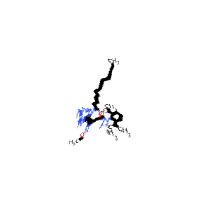 CCCCCCCCCCCCn1nnnc1C(=NOCC)C(=O)Nc1c(C(C)C)cccc1C(C)C